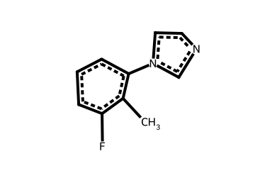 Cc1c(F)cccc1-n1ccnc1